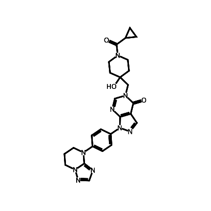 O=C(C1CC1)N1CCC(O)(Cn2cnc3c(cnn3-c3ccc(N4CCCn5ncnc54)cc3)c2=O)CC1